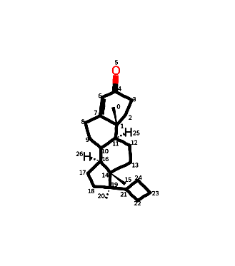 C[C@]12CCC(=O)C=C1CCC1[C@@H]2CC[C@@]2(C)[C@H]1CC[C@]2(C)C1CCC1